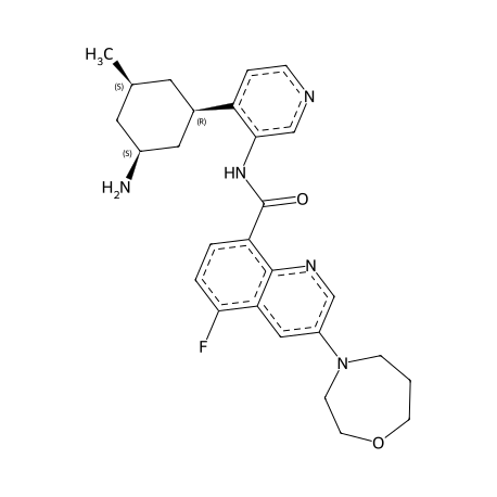 C[C@@H]1C[C@H](N)C[C@H](c2ccncc2NC(=O)c2ccc(F)c3cc(N4CCCOCC4)cnc23)C1